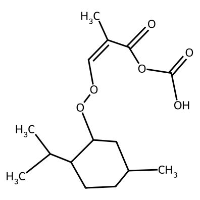 CC(=COOC1CC(C)CCC1C(C)C)C(=O)OC(=O)O